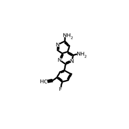 C#Cc1cc(-c2nc(N)c3cc(N)ncc3n2)ccc1F